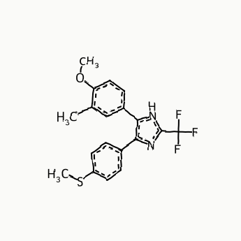 COc1ccc(-c2[nH]c(C(F)(F)F)nc2-c2ccc(SC)cc2)cc1C